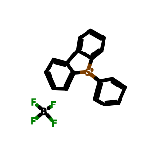 F[B-](F)(F)F.c1ccc(-[s+]2c3ccccc3c3ccccc32)cc1